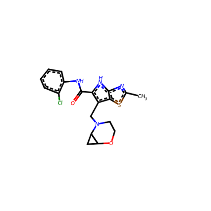 Cc1nc2[nH]c(C(=O)Nc3ccccc3Cl)c(CN3CCOC4CC43)c2s1